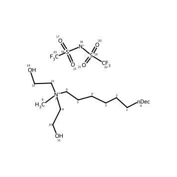 CCCCCCCCCCCCCCCC[N+](C)(CCO)CCO.O=S(=O)([N-]S(=O)(=O)C(F)(F)F)C(F)(F)F